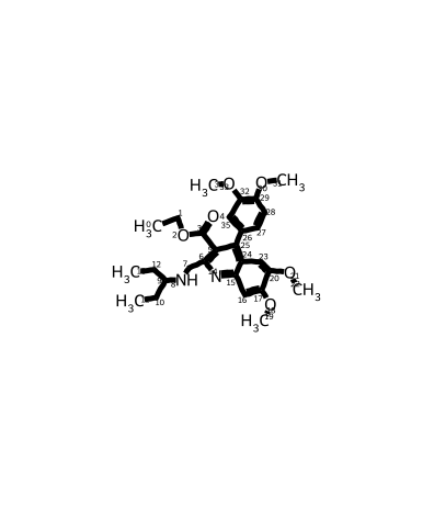 CCOC(=O)c1c(CNC(CC)CC)nc2cc(OC)c(OC)cc2c1-c1ccc(OC)c(OC)c1